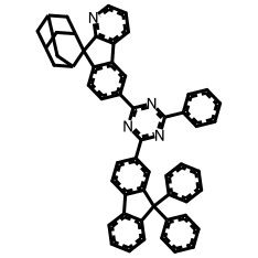 c1ccc(-c2nc(-c3ccc4c(c3)-c3cccnc3C43C4CC5CC(C4)CC3C5)nc(-c3ccc4c(c3)C(c3ccccc3)(c3ccccc3)c3ccccc3-4)n2)cc1